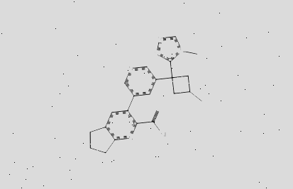 CC1CC(c2cncc(-c3cc4c(nc3C(N)=O)CCC4)c2)(c2nncn2C)C1